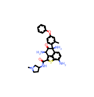 Cc1cc(Oc2ccccc2)ccc1C1(N)C(=O)C(N)c2c(C(=O)NC3CCN(C)C3)sc3c(N)ccc1c23